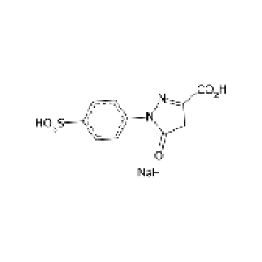 O=C(O)C1=NN(c2ccc(S(=O)(=O)O)cc2)C(=O)C1.[NaH]